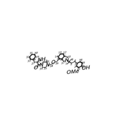 COc1cc(CCC(C)(C)N2Cc3cccc(COCN4CCN(C(=O)[C@@H](N)Cc5ccccc5)CC4)c3C2)ccc1O